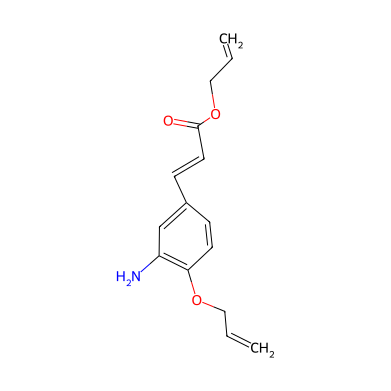 C=CCOC(=O)C=Cc1ccc(OCC=C)c(N)c1